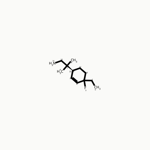 CCC1(F)C=C[C@@H](C(C)(C)CN)CC1